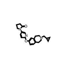 O=C1CCCN1c1ccc(Oc2ccc3c(c2)CCN(CC2CC2)CC3)nc1